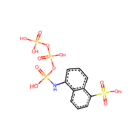 O=P(O)(O)OP(=O)(O)OP(=O)(O)Nc1cccc2c(S(=O)(=O)O)cccc12